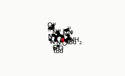 CC(C)(C)OC(=O)N(C(=O)OC(C)(C)C)c1ncnc2c1c(-c1ccc(N)c3nccn13)cn2C1COC1